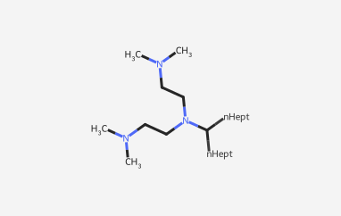 CCCCCCCC(CCCCCCC)N(CCN(C)C)CCN(C)C